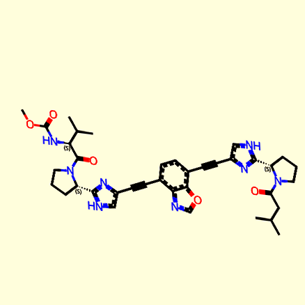 COC(=O)N[C@H](C(=O)N1CCC[C@H]1c1nc(C#Cc2ccc(C#Cc3c[nH]c([C@@H]4CCCN4C(=O)CC(C)C)n3)c3ocnc23)c[nH]1)C(C)C